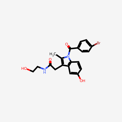 Cc1c(CC(=O)NCCO)c2cc(O)ccc2n1C(=O)c1ccc(Br)cc1